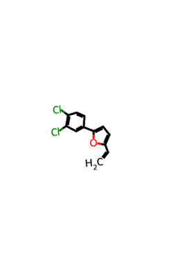 C=Cc1ccc(-c2ccc(Cl)c(Cl)c2)o1